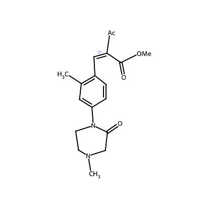 COC(=O)/C(=C\c1ccc(N2CCN(C)CC2=O)cc1C)C(C)=O